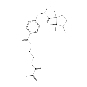 C=C(C)C(=O)OCCOC(=O)c1ccc(SN(C=O)C(=O)C2(C)CCC(C)C2(C)C)cc1